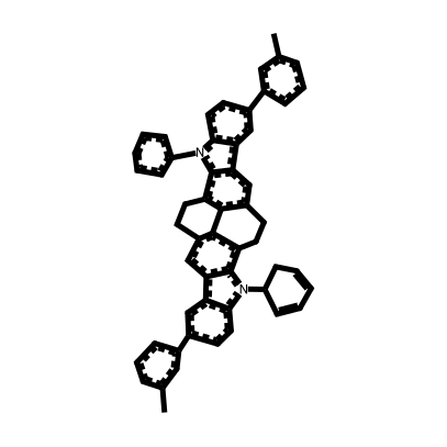 Cc1cccc(-c2ccc3c(c2)c2cc4c5c(c2n3-c2ccccc2)CCc2cc3c6cc(-c7cccc(C)c7)ccc6n(C6C=CC=CC6)c3c(c2-5)CC4)c1